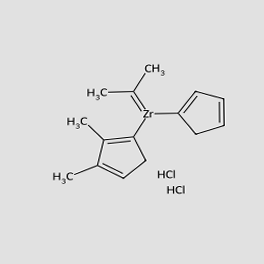 CC1=CC[C]([Zr]([C]2=CC=CC2)=[C](C)C)=C1C.Cl.Cl